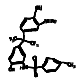 CC(=O)Nc1cc(C(c2ccc(O)c(NS(=O)(=O)c3ccc(C)cc3)c2)(C(F)(F)F)C(F)(F)F)ccc1O